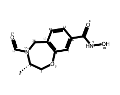 C[C@H]1COc2cc(C(=O)NO)ccc2CN1C=O